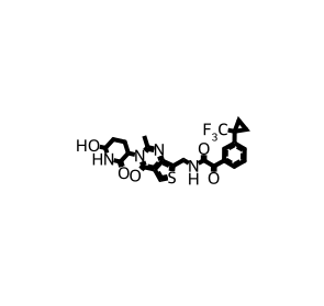 Cc1nc2c(CNC(=O)C(=O)c3cccc(C4(C(F)(F)F)CC4)c3)scc2c(=O)n1C1CCC(O)NC1=O